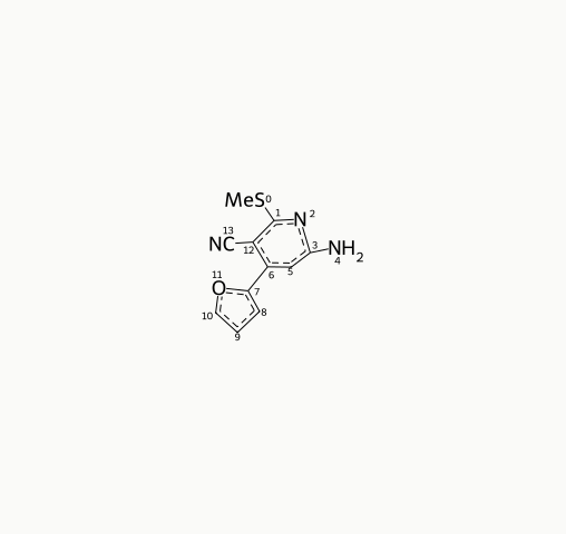 CSc1nc(N)cc(-c2ccco2)c1C#N